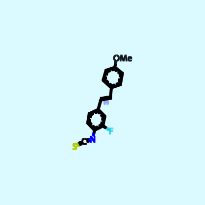 COc1ccc(/C=C/c2ccc(N=C=S)c(F)c2)cc1